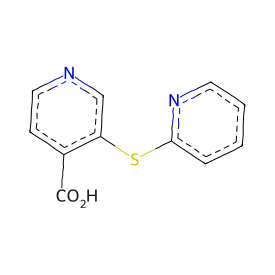 O=C(O)c1ccncc1Sc1ccccn1